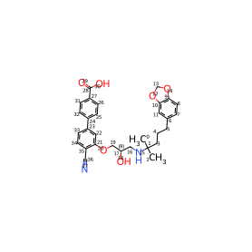 CC(C)(CCCc1ccc2c(c1)OCO2)NC[C@@H](O)COc1cc(-c2ccc(C(=O)O)cc2)ccc1C#N